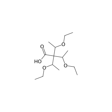 CCOC(C)C(C(=O)O)(C(C)OCC)C(C)OCC